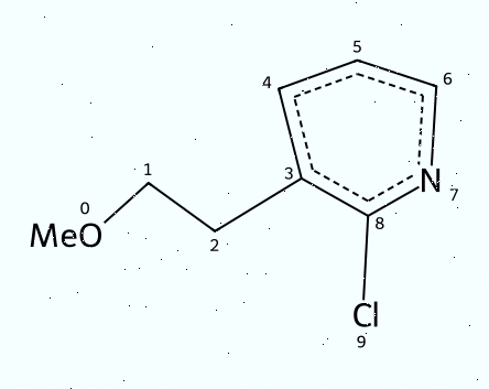 COCCc1cccnc1Cl